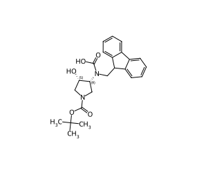 CC(C)(C)OC(=O)N1C[C@@H](N(CC2c3ccccc3-c3ccccc32)C(=O)O)[C@@H](O)C1